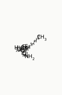 CCCCCCCCCCCCC(c1cccc(N)c1)C(C)(Oc1ccccc1)C(F)(F)F